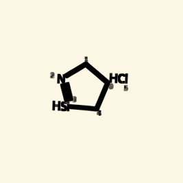 C1CN=[SiH]C1.Cl